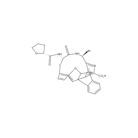 CC(C)[C@@H]1NC(=O)[C@@H](NC(=O)[C@H]2CCCO2)Cc2ccc3c(c2)C2(c4ccccc4NC2O3)c2oc1nc2C(=O)O